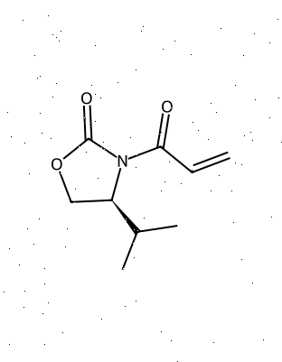 C=CC(=O)N1C(=O)OC[C@@H]1C(C)C